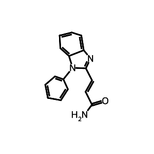 NC(=O)C=Cc1nc2ccccc2n1-c1ccccc1